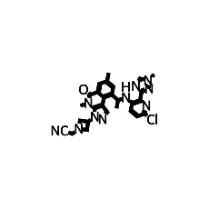 Cc1cc(C(C)Nc2ccc(Cl)nc2-c2ncn(C)n2)c2c(c1)c(=O)n(C)c1c2cnn1C1CN(CC#N)C1